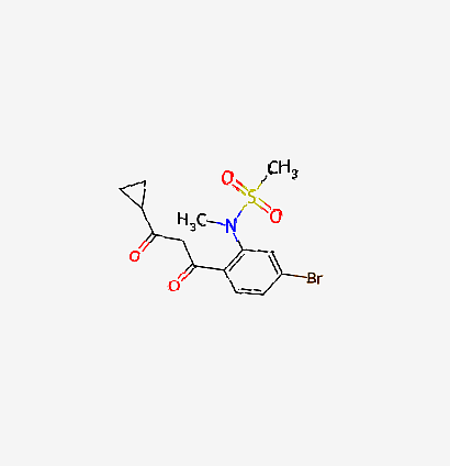 CN(c1cc(Br)ccc1C(=O)CC(=O)C1CC1)S(C)(=O)=O